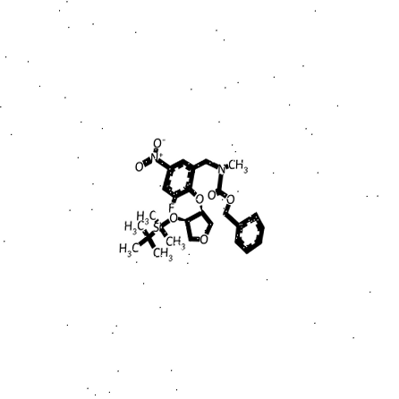 CN(Cc1cc([N+](=O)[O-])cc(F)c1O[C@@H]1COC[C@H]1O[Si](C)(C)C(C)(C)C)C(=O)OCc1ccccc1